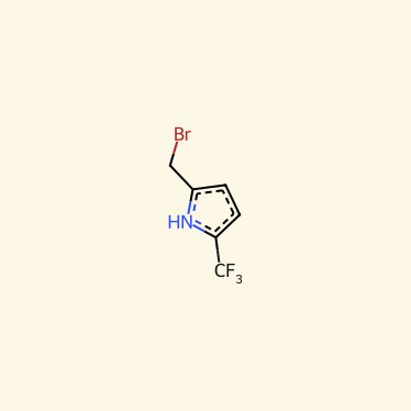 FC(F)(F)c1ccc(CBr)[nH]1